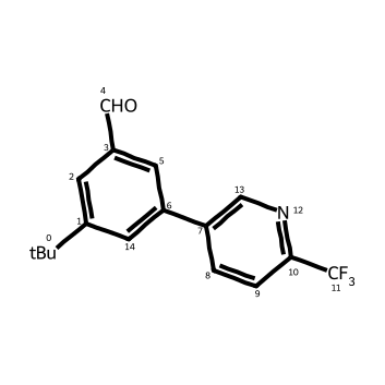 CC(C)(C)c1cc(C=O)cc(-c2ccc(C(F)(F)F)nc2)c1